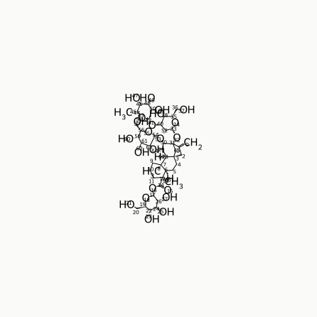 C=C1C[C@@]23CC[C@H]4[C@@](C)(CCC[C@@]4(C)C(=O)OC4O[C@H](CO)[C@@H](O)[C@H](O)[C@H]4O)[C@@H]2CC[C@]1(O[C@@H]1O[C@H](CO)[C@@H](O)[C@H](O[C@@H]2O[C@H](C)[C@@H](O)[C@H](O)[C@H]2O)[C@H]1O[C@@H]1O[C@H](CO)[C@@H](O)[C@H](O)[C@H]1O)C3